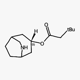 CC(C)(C)CC(=O)O[C@H]1CC2CCC(C1)NC2